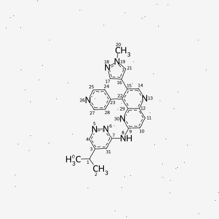 CC(C)c1cnnc(Nc2ccc3ncc(-c4cnn(C)c4)c(-c4ccncc4)c3n2)c1